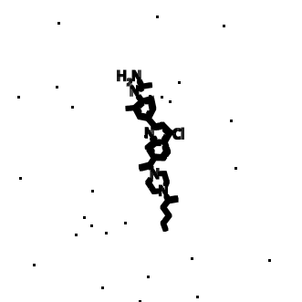 C=C(CCCC)N1CCN(C(=C)c2ccc3c(Cl)cc(-c4ccc(/N=C(\C)N)c(C)c4)nc3c2)CC1